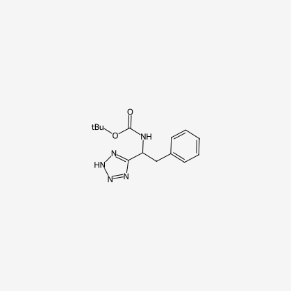 CC(C)(C)OC(=O)NC(Cc1ccccc1)c1nn[nH]n1